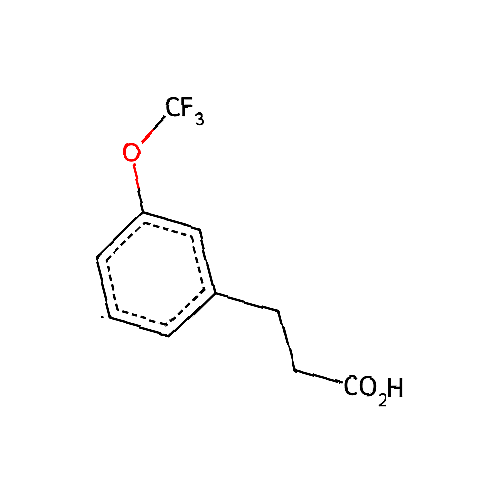 O=C(O)CCc1c[c]cc(OC(F)(F)F)c1